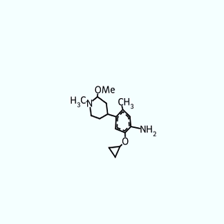 COC1CC(c2cc(OC3CC3)c(N)cc2C)CCN1C